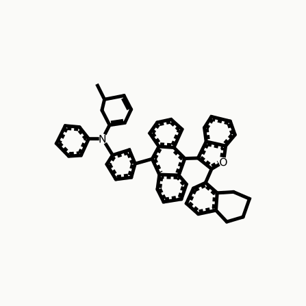 CC1C=CC=C(N(c2ccccc2)c2cccc(-c3c4ccccc4c(-c4c(-c5cccc6c5CCCC6)oc5ccccc45)c4ccccc34)c2)C1